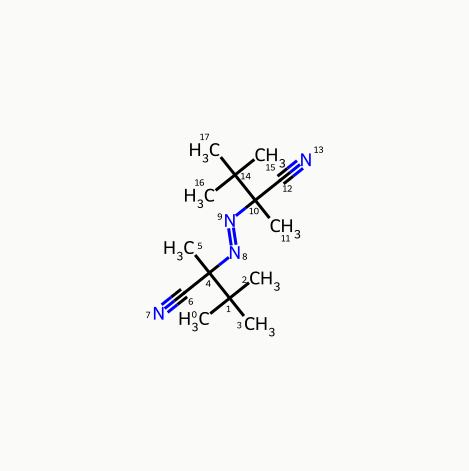 CC(C)(C)C(C)(C#N)N=NC(C)(C#N)C(C)(C)C